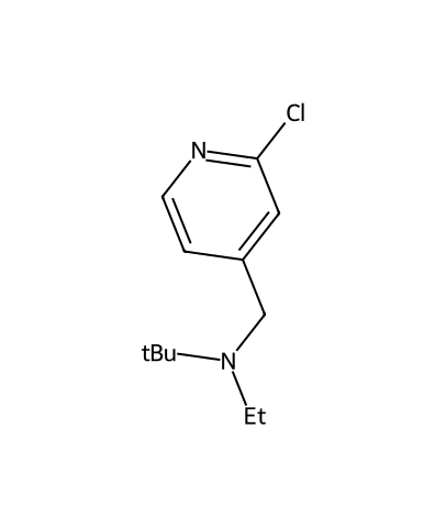 CCN(Cc1ccnc(Cl)c1)C(C)(C)C